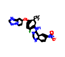 Cc1cc(Nc2ncnc3ccc([N+](=O)[O-])cc23)c(F)cc1Oc1ccn2ncnc2c1